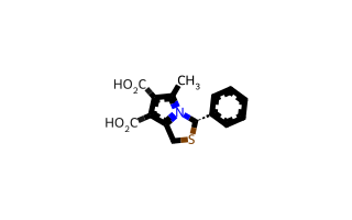 Cc1c(C(=O)O)c(C(=O)O)c2n1[C@H](c1ccccc1)SC2